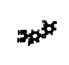 Cc1ccc(Oc2ccc(B(O)O)c(F)c2)cc1C